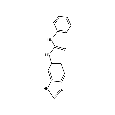 O=C(Nc1ccccc1)Nc1ccc2nc[nH]c2c1